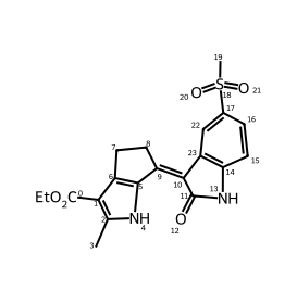 CCOC(=O)c1c(C)[nH]c2c1CC/C2=C1/C(=O)Nc2ccc(S(C)(=O)=O)cc21